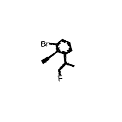 C#Cc1c(Br)cccc1[C](C)CF